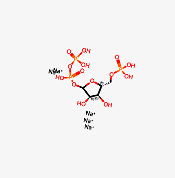 O=P(O)(O)OC[C@H]1OC(OP(=O)(O)OP(=O)(O)O)[C@H](O)[C@@H]1O.[Na+].[Na+].[Na+].[Na+].[Na+]